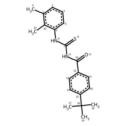 Cc1cccc(NC(=S)NC(=O)c2ccc(C(C)(C)C)cc2)c1C